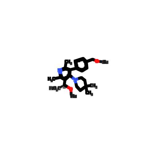 CCOC(=O)[C@@H](OC(C)(C)C)c1c(C)nc(C)c(-c2ccc(COC(C)(C)C)cc2)c1N1CCC(C)(C)CC1